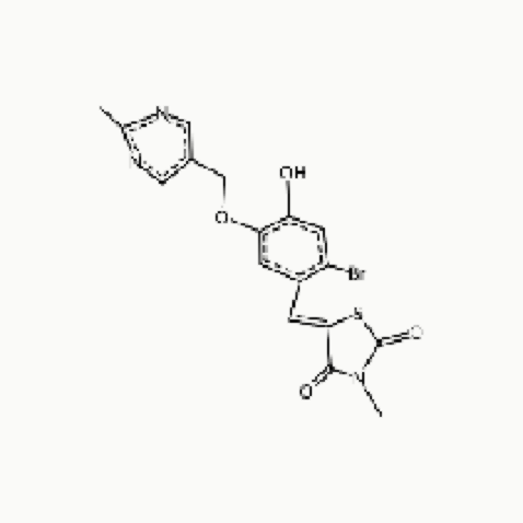 Cc1ncc(COc2cc(/C=C3\SC(=O)N(C)C3=O)c(Br)cc2O)cn1